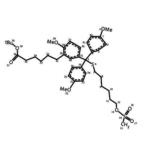 COc1ccc(C(SCCCCCCOS(C)(=O)=O)(c2ccc(OC)cc2)c2ccc(OC)c(CCCCCC(=O)OC(C)(C)C)c2)cc1